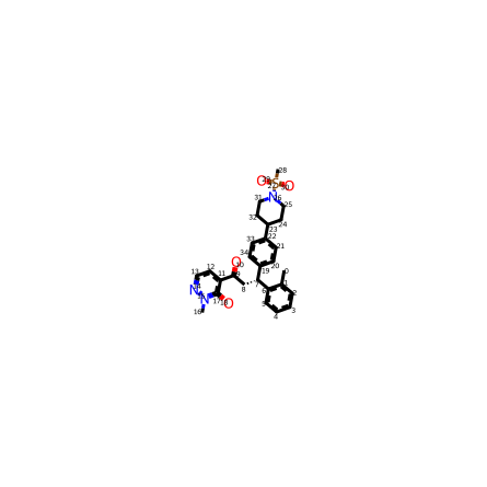 Cc1ccccc1[C@H](CC(=O)c1ccnn(C)c1=O)c1ccc(C2CCN(S(C)(=O)=O)CC2)cc1